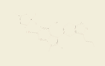 [2H]c1c(F)c(-c2ccc3nnn(CCF)c3c2)c2c(OC)nc(N[C@@H]3CN(C)CC3(F)F)nn12